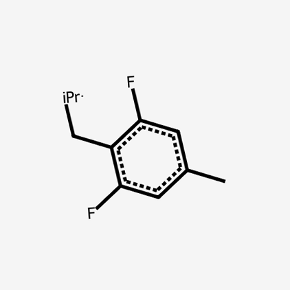 C[C](C)Cc1c(F)cc(C)cc1F